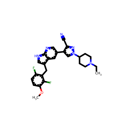 CCN1CCC(n2cc(-c3cnc4[nH]cc(Cc5c(F)ccc(OC)c5F)c4c3)c(C#N)n2)CC1